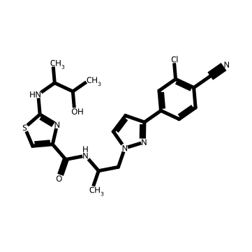 CC(Cn1ccc(-c2ccc(C#N)c(Cl)c2)n1)NC(=O)c1csc(NC(C)C(C)O)n1